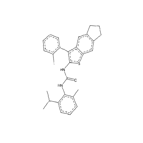 Cc1ccccc1-c1c(NC(=O)Nc2c(C)cccc2C(C)C)sc2cc3c(cc12)CCC3